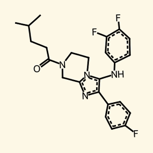 CC(C)CCC(=O)N1CCn2c(nc(-c3ccc(F)cc3)c2Nc2ccc(F)c(F)c2)C1